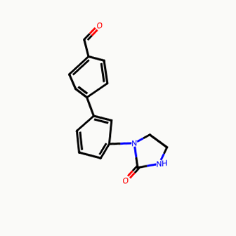 O=Cc1ccc(-c2cccc(N3CCNC3=O)c2)cc1